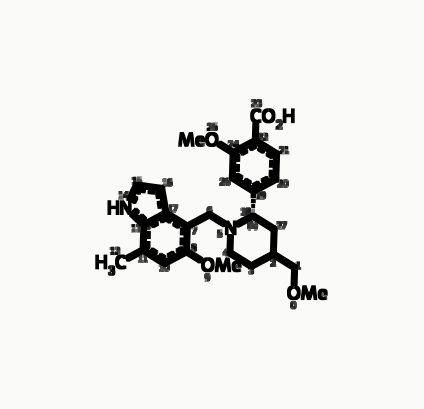 COCC1CCN(Cc2c(OC)cc(C)c3[nH]ccc23)[C@H](c2ccc(C(=O)O)c(OC)c2)C1